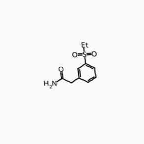 CCS(=O)(=O)c1cccc(CC(N)=O)c1